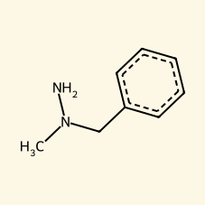 CN(N)Cc1ccccc1